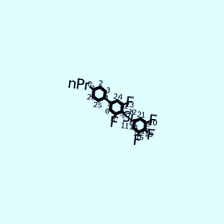 CCCc1ccc(-c2cc(F)c([Si](C)(C)c3cc(F)c(F)c(F)c3)c(F)c2)cc1